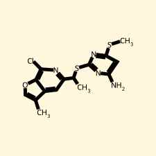 CSc1cc(N)nc(SC(C)c2cc3c(C)coc3c(Cl)n2)n1